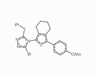 COc1ccc(-c2sc(-n3c(Br)nnc3SC(C)C)c3c2CCCC3)cc1